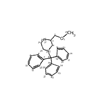 COCC1CN(C(c2ccccc2)(c2ccccc2)c2ccccc2)CCN1